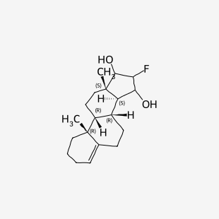 C[C@]12CCCC=C1CC[C@@H]1[C@H]2CC[C@]2(C)C(O)C(F)C(O)[C@@H]12